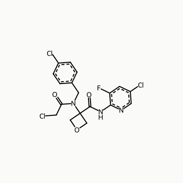 O=C(CCl)N(Cc1ccc(Cl)cc1)C1(C(=O)Nc2ncc(Cl)cc2F)COC1